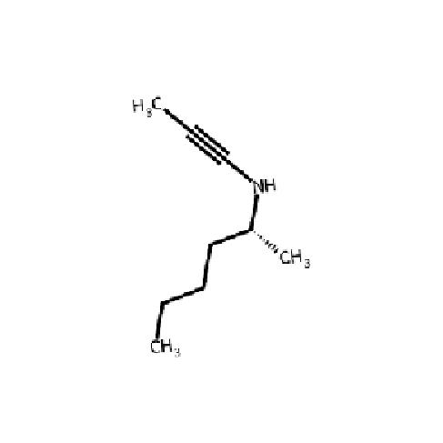 CC#CN[C@H](C)CCCC